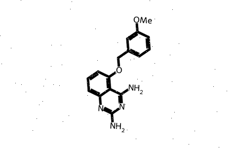 COc1cccc(COc2cccc3nc(N)nc(N)c23)c1